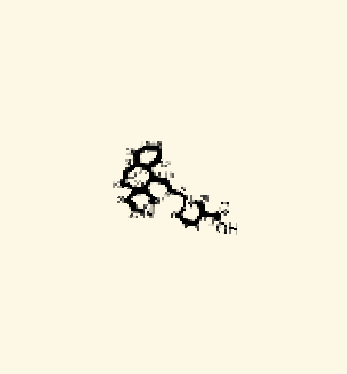 O=C(O)C1CCCN(CCC=C2c3ccccc3CCc3ccncc32)C1